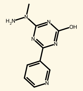 CN(N)c1nc(O)nc(-c2cccnc2)n1